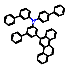 c1ccc(-c2ccc(N(c3cccc(-c4ccccc4)c3)c3cc(-c4ccccc4)cc(-c4cc5c6ccccc6ccc5c5ccccc45)c3)cc2)cc1